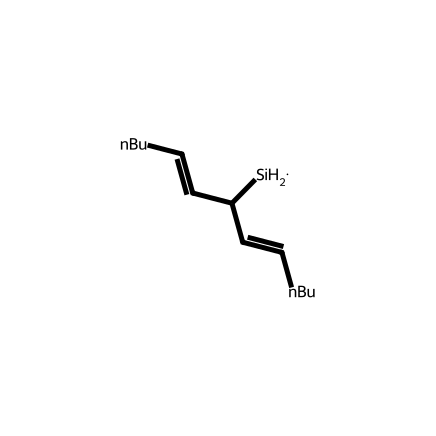 CCCC/C=C/C([SiH2])/C=C/CCCC